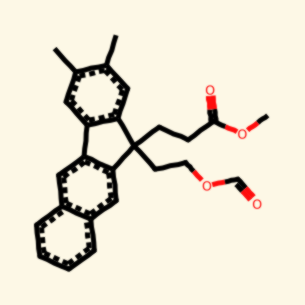 COC(=O)CCC1(CCOC=O)c2cc(C)c(C)cc2-c2cc3ccccc3cc21